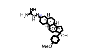 COc1ccc([C@@]2(O)CC[C@]3(O)[C@@H]4CC[C@@H]5C/C(=N/NC(=N)N)CC[C@]5(C)[C@H]4CC[C@]23C)cc1